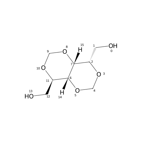 OC[C@@H]1OCO[C@H]2[C@@H]1OCO[C@@H]2CO